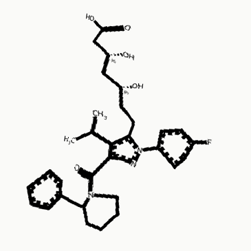 CC(C)c1c(C(=O)N2CCCCC2c2ccccc2)nn(-c2ccc(F)cc2)c1CC[C@@H](O)C[C@@H](O)CC(=O)O